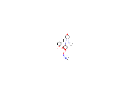 CC1=C(c2cccc(O)c2)C(c2ccc(OCC(C)N3CCC(C)C3)cc2)N(C2CCCC2)c2ccc(O)cc21